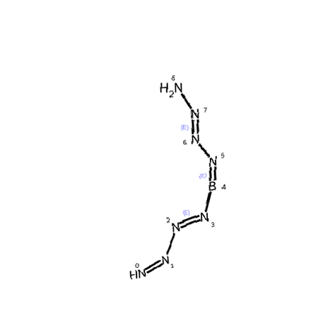 N=N/N=N/B=N/N=N/N